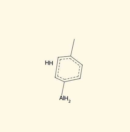 Cc1cc[c]([AlH2])cc1.[HH]